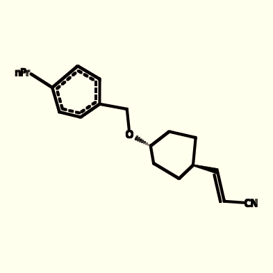 CCCc1ccc(CO[C@H]2CC[C@H](C=CC#N)CC2)cc1